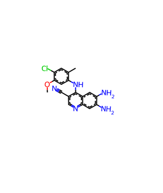 COc1cc(Nc2c(C#N)cnc3cc(N)c(N)cc23)c(C)cc1Cl